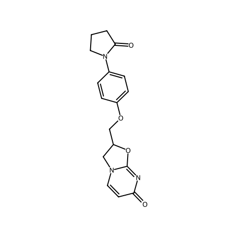 O=C1CCCN1c1ccc(OCC2Cn3ccc(=O)nc3O2)cc1